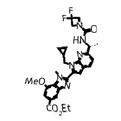 CCOC(=O)c1cc(OC)c2c(c1)nc(-c1cc3ccc([C@@H](C)NC(=O)N4CC(F)(F)C4)nc3n1CC1CC1)n2C